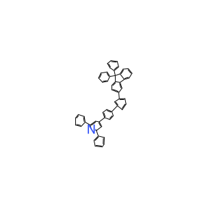 c1ccc(-c2cc(-c3ccc(-c4cccc(-c5ccc6c(c5)-c5ccccc5C6(c5ccccc5)c5ccccc5)c4)cc3)cc(-c3ccccc3)n2)cc1